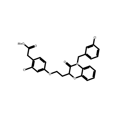 COC(=O)Cc1ccc(OCCC2Oc3ccccc3N(Cc3cccc(Cl)c3)C2=O)cc1Cl